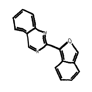 c1ccc2nc(-c3occ4ccccc34)ncc2c1